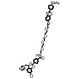 CNc1ccc(-c2nc3ccc(OCCOCCOCCOCCOCCNC(=O)c4ccc(COC(Cn5ccnc5)c5ccc(Cl)cc5Cl)cc4)cc3s2)cc1